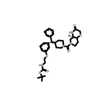 CC(C)(C)OC(=O)NCCOc1cccc([C@@H](c2ccccc2)C2CCN(C(=O)N3CCC4OCC(=O)N[C@@H]4C3)CC2)c1